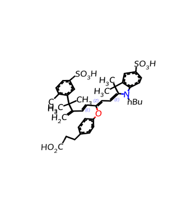 C=C(/C=C/C(=C/C=C1/N(CCCC)c2ccc(S(=O)(=O)O)cc2C1(C)C)Oc1ccc(CCC(=O)O)cc1)C(C)(C)c1cc(S(=O)(=O)O)ccc1C